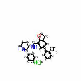 Cl.FC(F)(F)c1ccccc1-c1cc2c(c(CN[C@H]3CCCN[C@H]3c3ccccc3)c1)OCC2